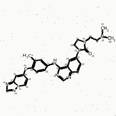 Cc1cc(Nc2ncnc3ccc(N4CCN(CCN(C)C)C4=O)cc23)ccc1Oc1ccn2ncnc2c1